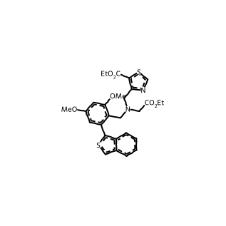 CCOC(=O)CN(Cc1ncsc1C(=O)OCC)Cc1c(OC)cc(OC)cc1-c1scc2ccccc12